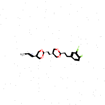 C/C=C/[C@H]1CO[C@H](CC[C@H]2CO[C@H](CCc3ccc(F)c(F)c3)OC2)OC1